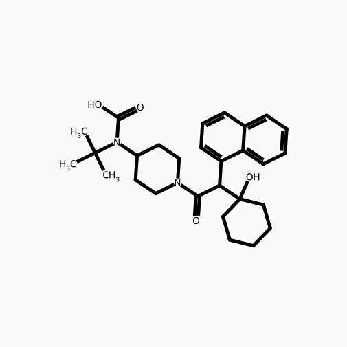 CC(C)(C)N(C(=O)O)C1CCN(C(=O)C(c2cccc3ccccc23)C2(O)CCCCC2)CC1